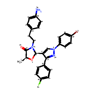 C[C@@H]1O[C@H](c2cn(-c3ccc(Br)cc3)nc2-c2ccc(F)cc2)N(CCc2ccc(N)cc2)C1=O